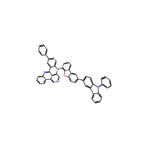 c1ccc(-c2ccc3c(c2)-c2nc4ccccc4c4cncc(c24)N3c2cccc3c2oc2ccc(-c4ccc5c(c4)c4ccccc4n5-c4ccccc4)cc23)cc1